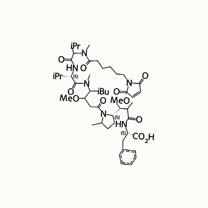 CCC(C)C(C(CC(=O)N1C(C)CC[C@H]1C(OC)C(C)C(=O)N[C@@H](Cc1ccccc1)C(=O)O)OC)N(C)C(=O)[C@@H](NC(=O)C(C(C)C)N(C)C(=O)CCCCCN1C(=O)C=CC1=O)C(C)C